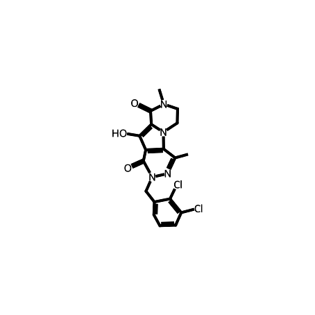 Cc1nn(Cc2cccc(Cl)c2Cl)c(=O)c2c(O)c3n(c12)CCN(C)C3=O